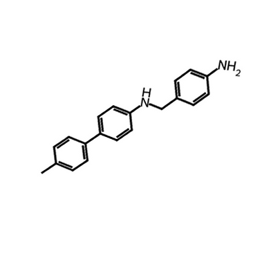 Cc1ccc(-c2ccc(NCc3ccc(N)cc3)cc2)cc1